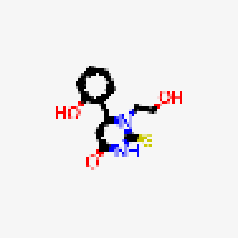 O=c1cc(-c2ccccc2O)n(CCO)c(=S)[nH]1